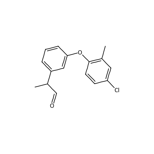 Cc1cc(Cl)ccc1Oc1cccc(C(C)C=O)c1